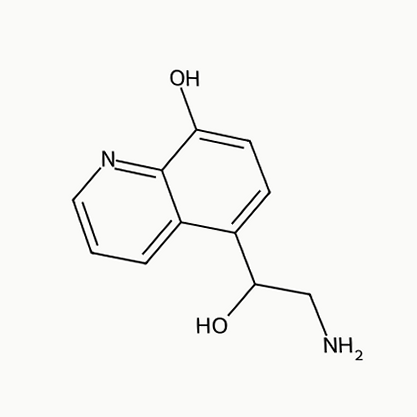 NCC(O)c1ccc(O)c2ncccc12